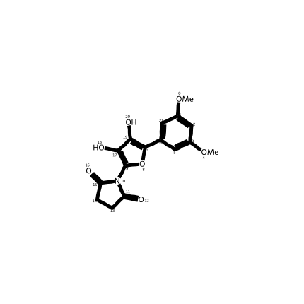 COc1cc(OC)cc(-c2oc(N3C(=O)CCC3=O)c(O)c2O)c1